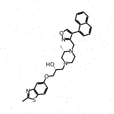 Cc1nc2cc(OC[C@H](O)CN3CCN(Cc4nocc4-c4cccc5ccccc45)[C@@H](C)C3)ccc2s1